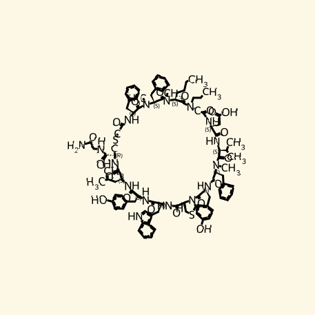 CCCC[C@H]1C(=O)N(CCC)CC(=O)N[C@@H](CC(=O)O)C(=O)N[C@@H](C(C)C)C(=O)N(C)[C@@H](Cc2ccccc2)C(=O)N[C@@H](Cc2ccc(O)cc2)C(=O)N2CSC[C@@H]2C(=O)N[C@@H](Cc2c[nH]c3ccccc23)C(=O)N[C@@H](Cc2ccc(O)cc2)C(=O)N[C@@H](CC(C)C)C(=O)N[C@H](C(=O)NCC(N)=O)CSCC(=O)N[C@@H](Cc2ccccc2)C(=O)N(C)[C@@H](Cc2ccccc2)C(=O)N1C